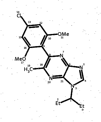 CCC(CC)n1cnc2nc(-c3c(OC)cc(Cl)cc3OC)c(C)nc21